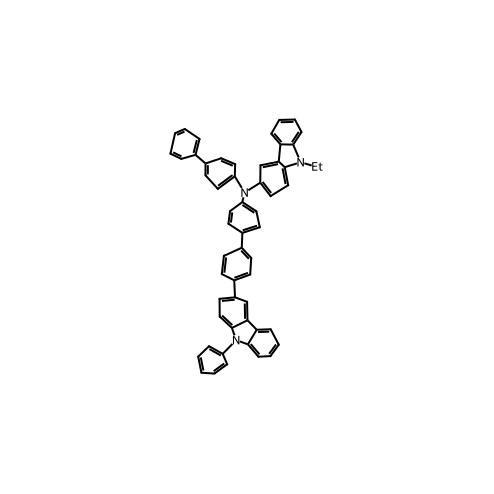 CCn1c2ccccc2c2cc(N(c3ccc(-c4ccccc4)cc3)c3ccc(-c4ccc(-c5ccc6c(c5)c5ccccc5n6-c5ccccc5)cc4)cc3)ccc21